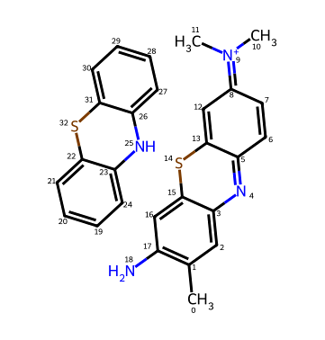 Cc1cc2nc3ccc(=[N+](C)C)cc-3sc2cc1N.c1ccc2c(c1)Nc1ccccc1S2